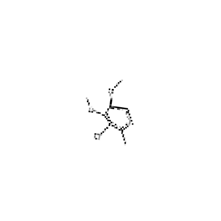 COc1cnc(C)c(Cl)c1OC